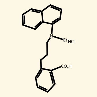 CCN(CCCc1ccccc1C(=O)O)c1cccc2ccccc12.Cl